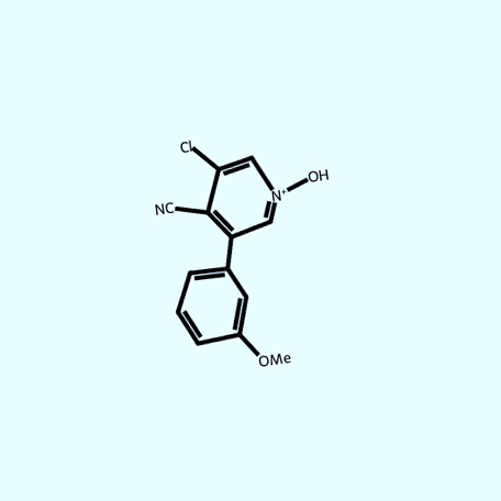 COc1cccc(-c2c[n+](O)cc(Cl)c2C#N)c1